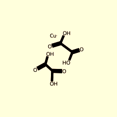 O=C(O)C(=O)O.O=C(O)C(=O)O.[Cu]